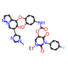 CCn1cc(OC(=O)Nc2ccc(Oc3cc(-c4cn(C)cn4)cn4nccc34)c(O)c2)c(=O)n(-c2ccc(F)cc2)c1=O